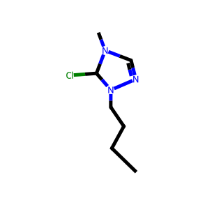 CCCCN1N=CN(C)C1Cl